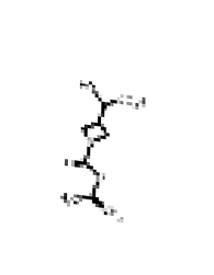 C=C(C)OC(=O)N1CC(C(O)C(=O)O)C1